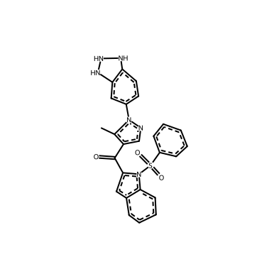 Cc1c(C(=O)c2cc3ccccc3n2S(=O)(=O)c2ccccc2)cnn1-c1ccc2c(c1)NNN2